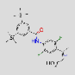 C/C(=C/C(=O)O)c1cc(F)c(NC(=O)c2cc([Si](C)(C)C)cc([Si](C)(C)C)c2)cc1F